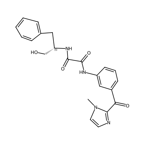 Cn1ccnc1C(=O)c1cccc(NC(=O)C(=O)N[C@H](CO)Cc2ccccc2)c1